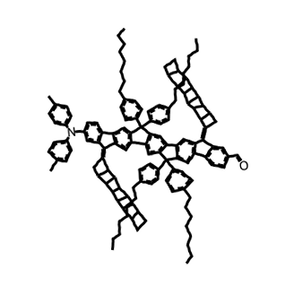 CCCCCCCCc1ccc(C2(c3ccc(CCCCCCCC)cc3)c3cc4c(cc3-c3cc5c(cc32)-c2cc3c(cc2C5(c2ccc(CCCCCCCC)cc2)c2ccc(CCCCCCCC)cc2)-c2ccc(N(c5ccc(C)cc5)c5ccc(C)cc5)cc2/C3=C2\CC3C2C2C3C3C5C6C7CCC7C6C5C23)/C(=C2/CC3C2C2C3C3C5C6C7CCC7C6C5C23)c2cc(C=O)ccc2-4)cc1